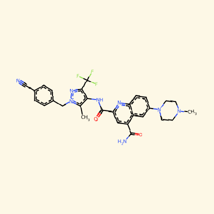 Cc1c(NC(=O)c2cc(C(N)=O)c3cc(N4CCN(C)CC4)ccc3n2)c(C(F)(F)F)nn1Cc1ccc(C#N)cc1